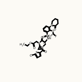 CCOC(=O)CN(C(=O)[C@H](CNC(=O)c1ccc(Cl)s1)NS(=O)(=O)c1cccc(N2CCCCC2=O)c1OC(F)F)C1CC1